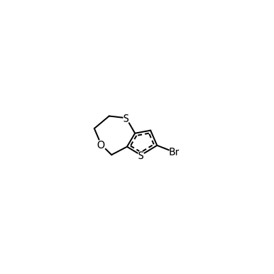 Brc1cc2c(s1)COCCS2